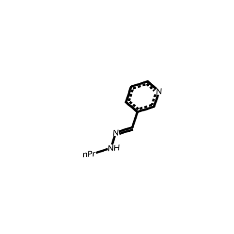 CCCN/N=C/c1cccnc1